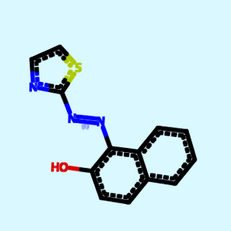 Oc1ccc2ccccc2c1/N=N/c1nccs1